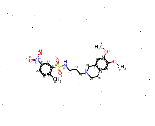 COc1cc2c(cc1OC)CN(CCCNS(=O)(=O)c1cc([N+](=O)O)ccc1C)CC2